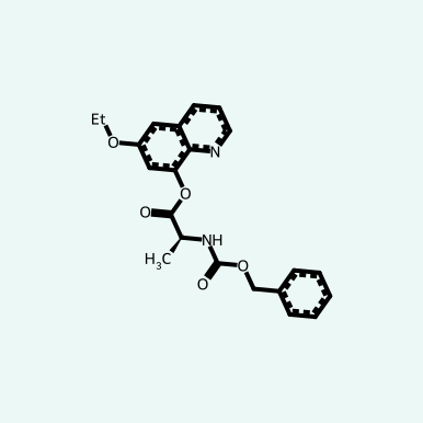 CCOc1cc(OC(=O)[C@H](C)NC(=O)OCc2ccccc2)c2ncccc2c1